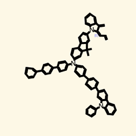 C=C/C=c1\c(=C)c2ccccc2n1-c1ccc2c(c1)C(C)(C)c1cc(N(c3ccc(-c4ccc(-c5ccccc5)cc4)cc3)c3ccc(-c4ccc(-c5ccc6c7ccccc7n(-c7ccccc7)c6c5)cc4)cc3)ccc1-2